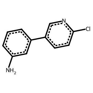 Nc1cccc(-c2ccc(Cl)nc2)c1